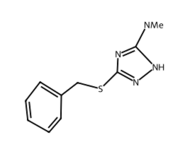 CNc1nc(SCc2ccccc2)n[nH]1